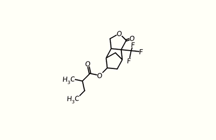 CCC(C)C(=O)OC1CC2CC1C1COC(=O)C21C(F)(F)F